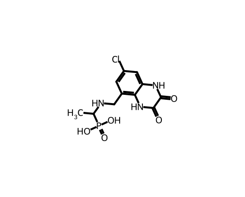 CC(NCc1cc(Cl)cc2[nH]c(=O)c(=O)[nH]c12)P(=O)(O)O